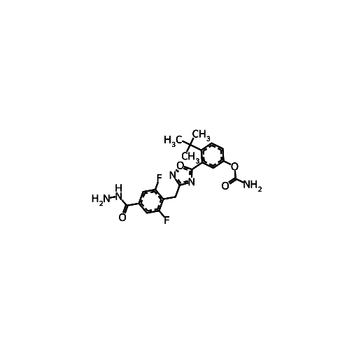 CC(C)(C)c1ccc(OC(N)=O)cc1-c1nc(Cc2c(F)cc(C(=O)NN)cc2F)no1